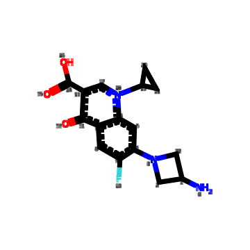 NC1CN(c2cc3c(cc2F)c(=O)c(C(=O)O)cn3C2CC2)C1